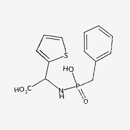 O=C(O)C(NP(=O)(O)Cc1ccccc1)c1cccs1